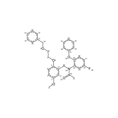 COc1ccc(OCCOCc2ccccc2)c(CN(C(C)=O)c2cc(F)ccc2Oc2ccccc2)c1